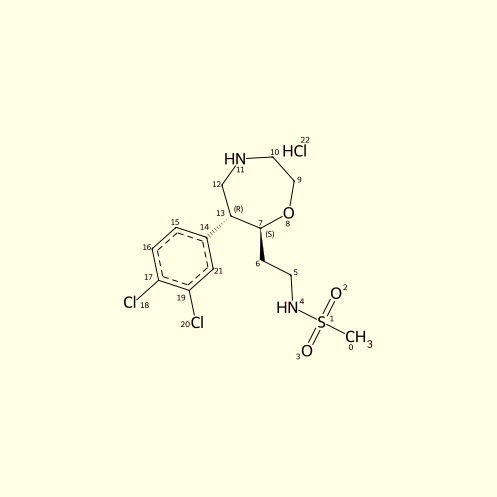 CS(=O)(=O)NCC[C@@H]1OCCNC[C@H]1c1ccc(Cl)c(Cl)c1.Cl